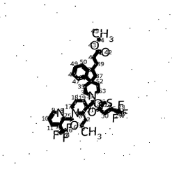 CCC[C@H]1N(C(=O)c2ncccc2C(F)(F)F)CCC[C@@]1(Oc1csc(C(F)(F)F)c1)C(=O)N1CCC(CCCCC(=O)OCC)(c2ccccc2)CC1